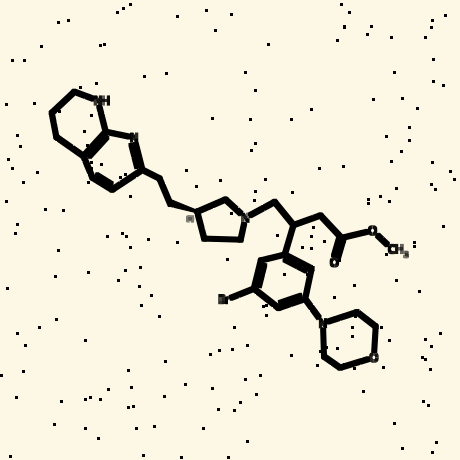 COC(=O)CC(CN1CC[C@@H](CCc2ccc3c(n2)NCCC3)C1)c1cc(Br)cc(N2CCOCC2)c1